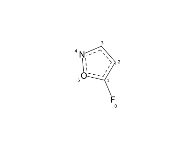 Fc1[c]cno1